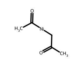 CC(=O)[CH2][Ni][C](C)=O